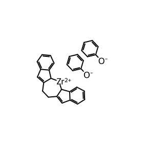 C1=C2CCC3=Cc4ccccc4[CH]3[Zr+2][CH]2c2ccccc21.[O-]c1ccccc1.[O-]c1ccccc1